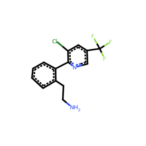 NCCc1ccccc1-c1ncc(C(F)(F)F)cc1Cl